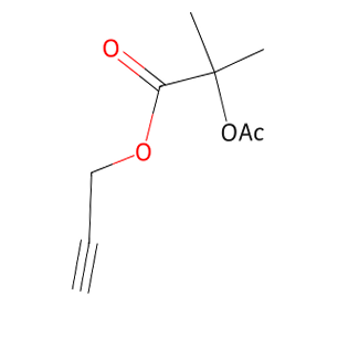 C#CCOC(=O)C(C)(C)OC([CH2])=O